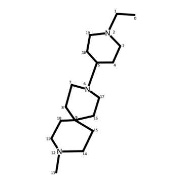 CCN1CCC(N2CCC3(CCN(C)CC3)CC2)CC1